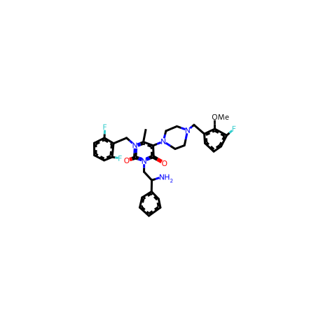 COc1c(F)cccc1CN1CCN(c2c(C)n(Cc3c(F)cccc3F)c(=O)n(CC(N)c3ccccc3)c2=O)CC1